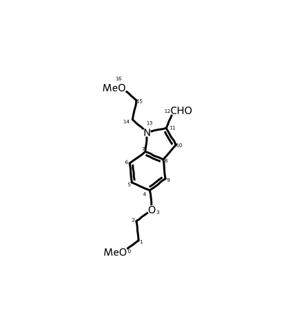 COCCOc1ccc2c(c1)cc(C=O)n2CCOC